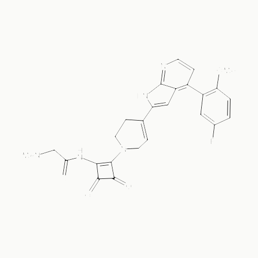 CNCC(=O)Nc1c(N2CC=C(c3cc4c(-c5cc(F)ccc5OC)ccnc4[nH]3)CC2)c(=O)c1=O